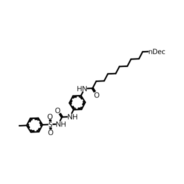 CCCCCCCCCCCCCCCCCCCC(=O)Nc1ccc(NC(=O)NS(=O)(=O)c2ccc(C)cc2)cc1